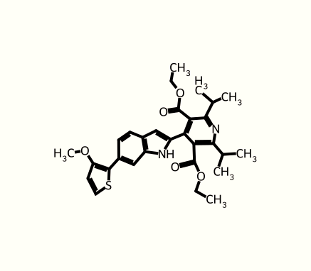 CCOC(=O)c1c(C(C)C)nc(C(C)C)c(C(=O)OCC)c1-c1cc2ccc(-c3sccc3OC)cc2[nH]1